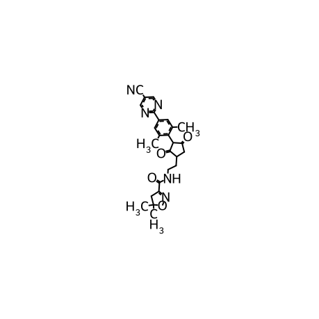 Cc1cc(-c2ncc(C#N)cn2)cc(C)c1C1C(=O)CC(CCNC(=O)C2=NOC(C)(C)C2)C1=O